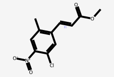 COC(=O)/C=C/c1cc(Cl)c([N+](=O)[O-])cc1C